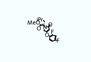 COC(=O)[C@H](CC(C)C)N1CC(Oc2ccc(F)cc2F)=CC1=O